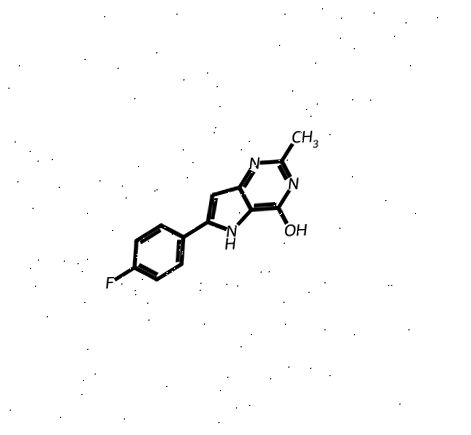 Cc1nc(O)c2[nH]c(-c3ccc(F)cc3)cc2n1